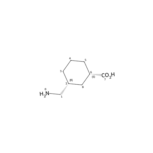 NC[C@@H]1CCC[C@H](C(=O)O)C1